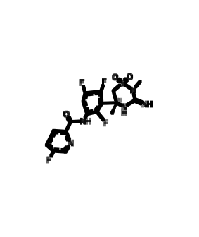 CN1C(=N)N[C@](C)(c2c(F)c(F)cc(NC(=O)c3ccc(F)cn3)c2F)CS1(=O)=O